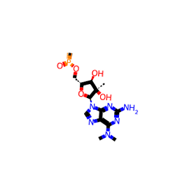 CN(C)c1nc(N)nc2c1ncn2[C@@H]1O[C@H](CO[PH](C)=O)[C@@H](O)[C@@]1(C)O